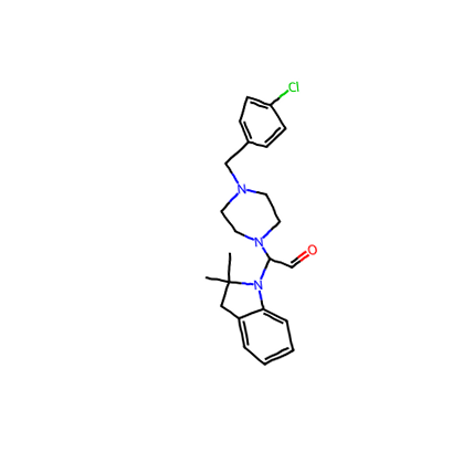 CC1(C)Cc2ccccc2N1C(C=O)N1CCN(Cc2ccc(Cl)cc2)CC1